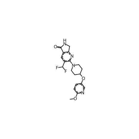 COc1ccc(OC2CCN(c3nc4c(cc3C(F)F)C(=O)NC4)CC2)cn1